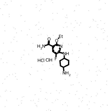 CCOc1nc(NC2CCC(N)CC2)c(F)cc1C(N)=O.Cl.Cl